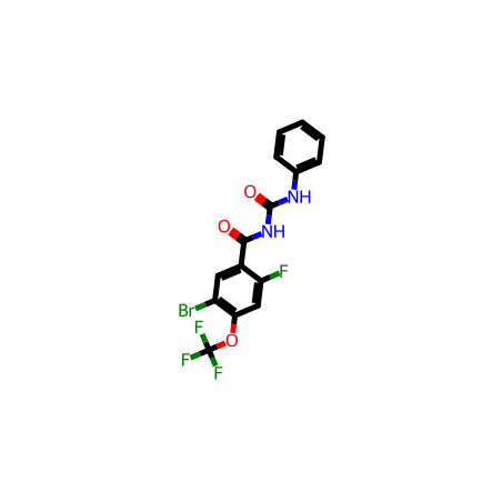 O=C(NC(=O)c1cc(Br)c(OC(F)(F)F)cc1F)Nc1ccccc1